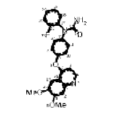 COc1cc2nccc(Oc3ccc(N(C(N)=O)c4ccccc4F)cc3)c2cc1OC